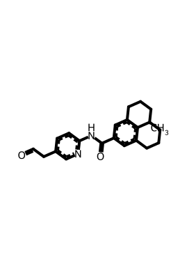 CC12CCCc3cc(C(=O)Nc4ccc(CC=O)cn4)cc(c31)CCC2